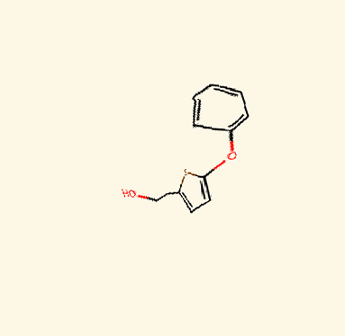 OCc1ccc(Oc2ccccc2)s1